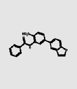 O=C(Nc1cc(-c2ccc3occc3c2)ccc1C(=O)O)c1ccccc1